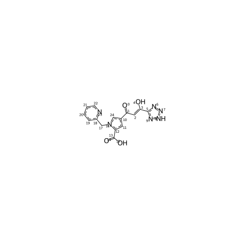 O=C(C=C(O)c1nn[nH]n1)c1cc(C(=O)O)n(Cc2ccccn2)c1